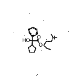 CCC(CCN(C)C)OC(=O)C(O)(c1ccccc1)C1CCCC1